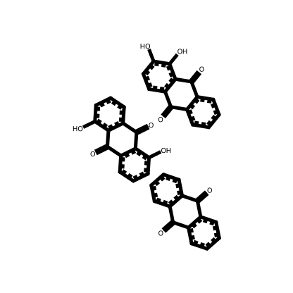 O=C1c2cccc(O)c2C(=O)c2cccc(O)c21.O=C1c2ccccc2C(=O)c2c1ccc(O)c2O.O=C1c2ccccc2C(=O)c2ccccc21